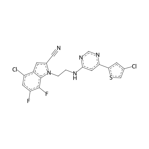 N#Cc1cc2c(Cl)cc(F)c(F)c2n1CCNc1cc(-c2cc(Cl)cs2)ncn1